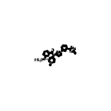 Cc1nnc(-c2cccc(-n3ccc(N(C(=O)c4cccc(NC(=O)O)c4)C4CCN(C)CC4)n3)c2)o1